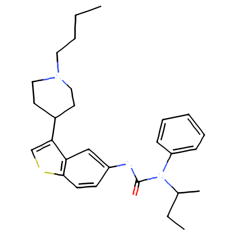 CCCCN1CCC(c2csc3ccc(NC(=O)N(c4ccccc4)C(C)CC)cc23)CC1